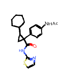 CC(=O)Nc1ccc(C2(C(=O)Nc3nccs3)CC2C2CCCCC2)cc1